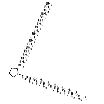 B.B.B.B.B.B.B.B.B.B.B.B.B.B.B.B.B.B.B.B.B.B.B.B.B.B.B.B.B.B.B.B.B.B.B.B.CP1CCCC1